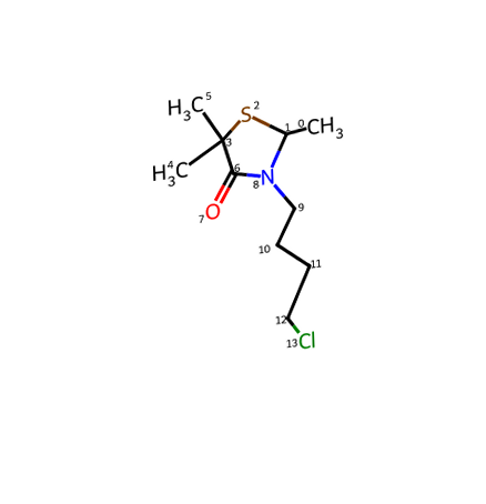 CC1SC(C)(C)C(=O)N1CCCCCl